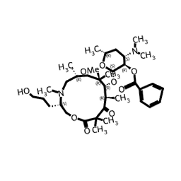 CO[C@]1(C)C[C@@H](C)CN(C)[C@@H](CCCO)COC(=O)C(C)(C)C(=O)[C@H](C)[C@H]1O[C@@H]1O[C@H](C)C[C@H](N(C)C)[C@H]1OC(=O)c1ccccc1